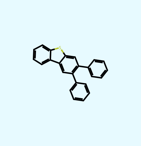 c1ccc(-c2cc3sc4ccccc4c3cc2-c2ccccc2)cc1